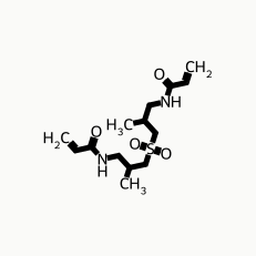 C=CC(=O)NCC(C)CS(=O)(=O)CC(C)CNC(=O)C=C